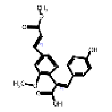 COC(=O)/C=C/c1ccc(/C(=C\c2ccc(O)cc2)C(=O)O)c(OC)c1